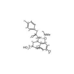 CNC.Cc1ccc(CC(=O)NC2CC(C(=O)O)Nc3cc(Cl)cc(Cl)c32)cc1